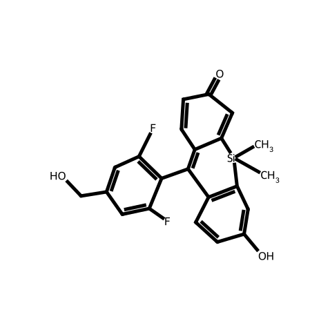 C[Si]1(C)C2=CC(=O)C=CC2=C(c2c(F)cc(CO)cc2F)c2ccc(O)cc21